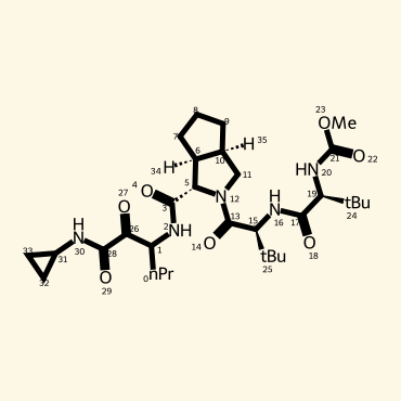 CCCC(NC(=O)[C@@H]1[C@H]2CCC[C@H]2CN1C(=O)[C@@H](NC(=O)[C@@H](NC(=O)OC)C(C)(C)C)C(C)(C)C)C(=O)C(=O)NC1CC1